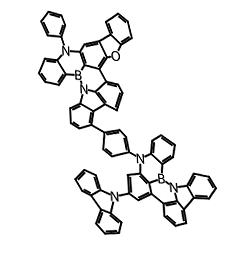 c1ccc(N2c3ccccc3B3c4c2cc2c(oc5ccccc52)c4-c2cccc4c5c(-c6ccc(N7c8ccccc8B8c9c(cc(-n%10c%11ccccc%11c%11ccccc%11%10)cc97)-c7cccc9c%10ccccc%10n8c79)cc6)cccc5n3c24)cc1